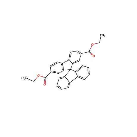 CCOC(=O)c1ccc2c(c1)C1(c3ccccc3-c3ccccc31)c1cc(C(=O)OCC)ccc1-2